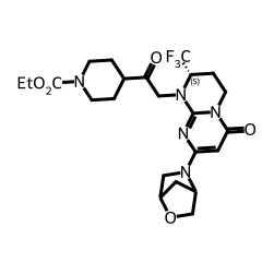 CCOC(=O)N1CCC(C(=O)CN2c3nc(N4CC5CC4CO5)cc(=O)n3CC[C@H]2C(F)(F)F)CC1